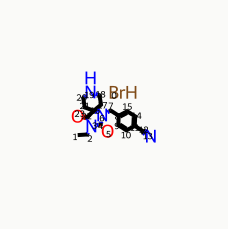 Br.CCN1C(=O)N(Cc2ccc(C#N)cc2)C2(CCNCC2)C1=O